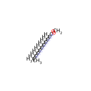 C=CC(=O)OC/C=C(\C)CC/C=C(\C)CC/C=C(\C)CC/C=C(\C)CC/C=C(\C)CC/C=C(\C)CC/C=C(\C)CC/C=C(\C)CC/C=C(\C)CCC=C(C)C